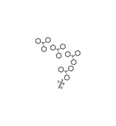 F[B-](F)(F)F.[Pd].c1ccc(P(c2ccccc2)c2ccccc2)cc1.c1ccc(P(c2ccccc2)c2ccccc2)cc1.c1ccc(P(c2ccccc2)c2ccccc2)cc1.c1ccc(P(c2ccccc2)c2ccccc2)cc1